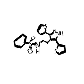 O=S(=O)(NCCc1c(-c2cccs2)n[nH]c1-c1cccs1)c1ccccc1